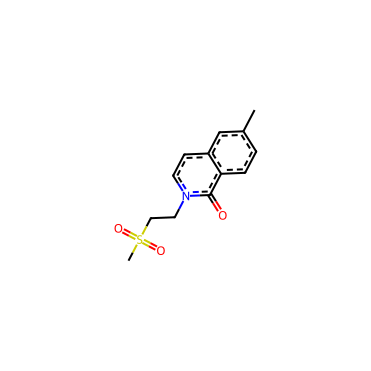 Cc1ccc2c(=O)n(CCS(C)(=O)=O)ccc2c1